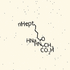 CCCCCCCCCCCC(=O)N[C@H](C)C(=O)O.[NaH]